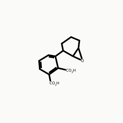 O=C(O)c1cccc(C2CCCC3OC32)c1C(=O)O